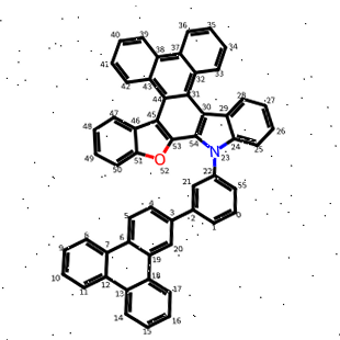 c1cc(-c2ccc3c4ccccc4c4ccccc4c3c2)cc(-n2c3ccccc3c3c4c5ccccc5c5ccccc5c4c4c5ccccc5oc4c32)c1